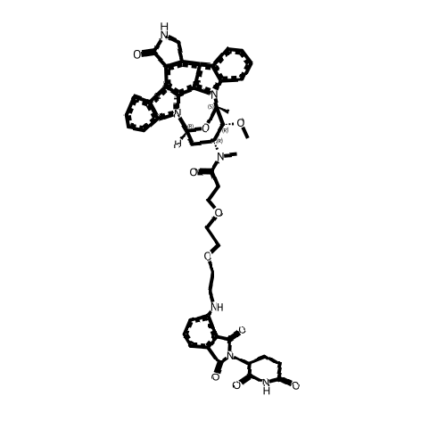 CO[C@@H]1[C@H](N(C)C(=O)CCOCCOCCNc2cccc3c2C(=O)N(C2CCC(=O)NC2=O)C3=O)C[C@H]2O[C@]1(C)n1c3ccccc3c3c4c(c5c6ccccc6n2c5c31)C(=O)NC4